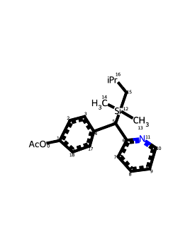 CC(=O)Oc1ccc(C(c2ccccn2)[Si](C)(C)CC(C)C)cc1